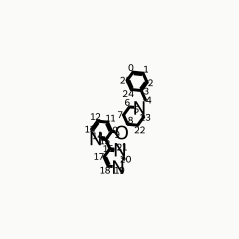 c1ccc(CN2CCC(Oc3cccnc3-c3ccncn3)CC2)cc1